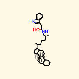 CC(CCCC(C)[C@H]1CC[C@H]2[C@@H]3CCC4CCCC[C@]4(C)[C@H]3CC[C@]12C)CNC(O)Cc1c[nH]c2ccccc12